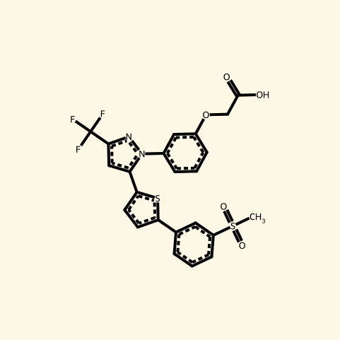 CS(=O)(=O)c1cccc(-c2ccc(-c3cc(C(F)(F)F)nn3-c3cccc(OCC(=O)O)c3)s2)c1